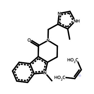 Cc1[nH]cnc1CN1CCc2c(c3ccccc3n2C)C1=O.O=C(O)/C=C\C(=O)O